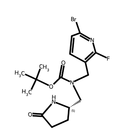 CC(C)(C)OC(=O)N(Cc1ccc(Br)nc1F)C[C@@H]1CCC(=O)N1